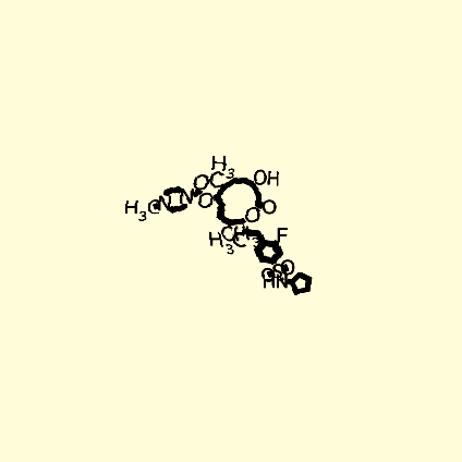 C/C(=C\c1ccc(S(=O)(=O)NC2CCCC2)cc1F)[C@H]1OC(=O)C[C@H](O)CC[C@H](C)C(OC(=O)N2CCN(C)CC2)/C=C/[C@@H]1C